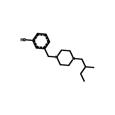 CCC(C)CN1CCN(Cc2cccc(O)c2)CC1